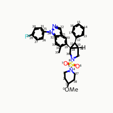 COC1CCN(S(=O)(=O)N2C[C@H]3[C@H](c4ccccc4)[C@@]3(c3cc4cnn(-c5ccc(F)cc5)c4cc3C)C2)CC1